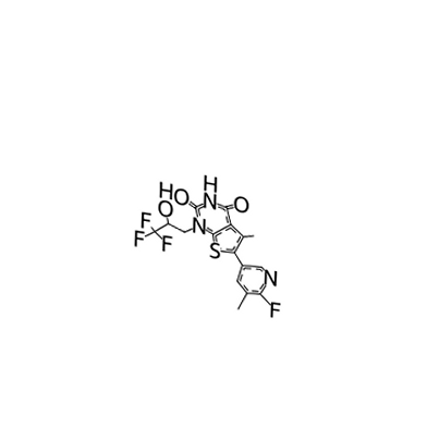 Cc1cc(-c2sc3c(c2C)c(=O)[nH]c(=O)n3CC(O)C(F)(F)F)cnc1F